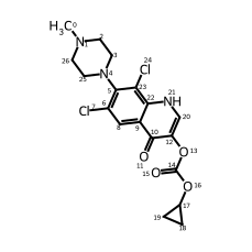 CN1CCN(c2c(Cl)cc3c(=O)c(OC(=O)OC4CC4)c[nH]c3c2Cl)CC1